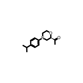 CC(=O)[C@H]1CN(c2ccc(C(C)C)cc2)CCO1